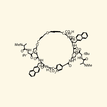 CN[C@@H](C)C(=O)N[C@H](C(=O)N1CC2CC1C(=O)N[C@@H](Cc1ccc3ccccc3c1)C(=O)N[C@H](C(=O)O)Cc1ccc(cc1)C(=O)N[C@H]1C[C@@H](C(=O)N[C@@H](Cc3ccc4ccccc4c3)C(=O)N[C@H](C(=O)O)Cc3ccc(cc3)OC/C=C/CO2)N(C(=O)[C@@H](NC(=O)[C@H](C)NC)C(C)(C)C)C1)C(C)C